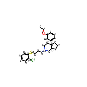 CCOc1cccc(C23CCCC2CN(CCCSc2ccccc2Cl)CC3)c1